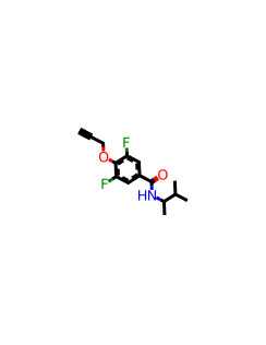 C#CCOc1c(F)cc(C(=O)NC(C)C(C)C)cc1F